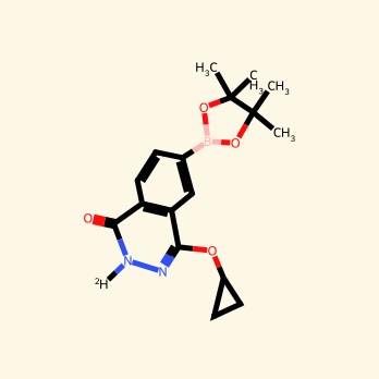 [2H]n1nc(OC2CC2)c2cc(B3OC(C)(C)C(C)(C)O3)ccc2c1=O